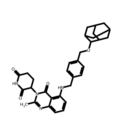 Cc1nc2cccc(NCc3ccc(COC4C5CC6CC(C5)CC4C6)cc3)c2c(=O)n1C1CCC(=O)NC1=O